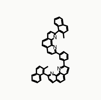 Cc1ccc2ccccc2c1-c1ccc2ccc3ccc(-c4cccc(-c5ccc6ccc7ccc(-c8c(C)ccc9ccccc89)nc7c6n5)c4)nc3c2n1